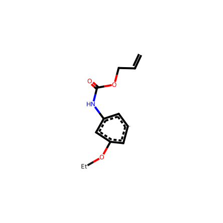 C=CCOC(=O)Nc1c[c]cc(OCC)c1